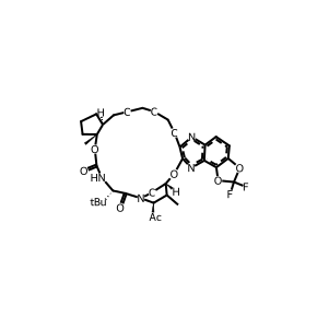 CC(=O)[C@@H]1C(C)[C@@H]2CN1C(=O)[C@H](C(C)(C)C)NC(=O)O[C@]1(C)CCC[C@H]1CCCCCCc1nc3ccc4c(c3nc1O2)OC(F)(F)O4